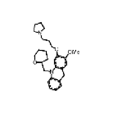 COc1cc2c(cc1OCCCN1CCCC1)N(CC1CCCCO1)c1ccccc1C2